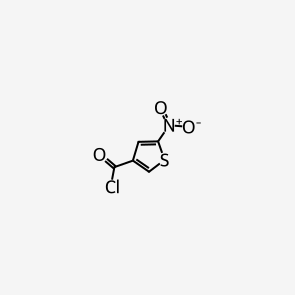 O=C(Cl)c1csc([N+](=O)[O-])c1